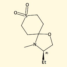 CC[C@@H]1COC2(CCS(=O)(=O)CC2)N1C